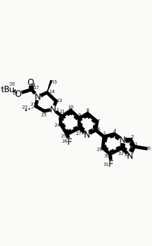 Cc1cn2cc(-c3ccc4cc(N5C[C@H](C)N(C(=O)OC(C)(C)C)[C@@H](C)C5)cc(F)c4n3)cc(F)c2n1